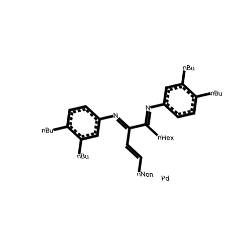 CCCCCCCCC/C=C/C(=N\c1ccc(CCCC)c(CCCC)c1)C(/CCCCCC)=N/c1ccc(CCCC)c(CCCC)c1.[Pd]